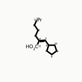 CC(C)CCC/C(=C/C1CCCC1)C(=O)O